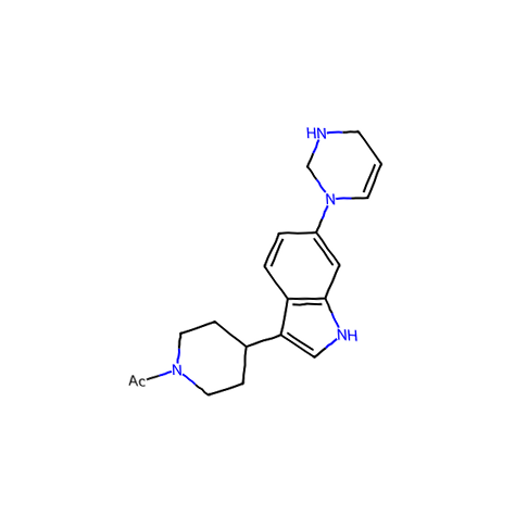 CC(=O)N1CCC(c2c[nH]c3cc(N4C=CCNC4)ccc23)CC1